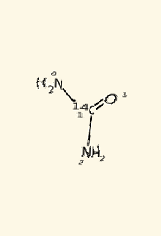 N[14C](N)=O